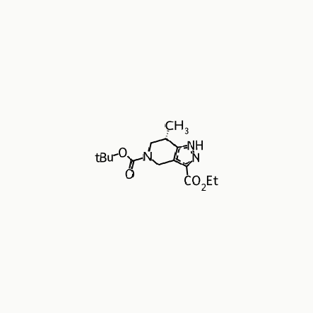 CCOC(=O)c1n[nH]c2c1CN(C(=O)OC(C)(C)C)C[C@@H]2C